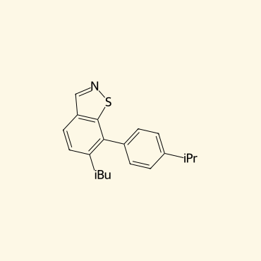 CCC(C)c1ccc2cnsc2c1-c1ccc(C(C)C)cc1